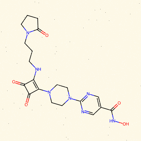 O=C(NO)c1cnc(N2CCN(c3c(NCCCN4CCCC4=O)c(=O)c3=O)CC2)nc1